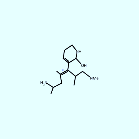 CNCC(C)/C(C1=CCCNC1O)=C(/C)CC(C)N